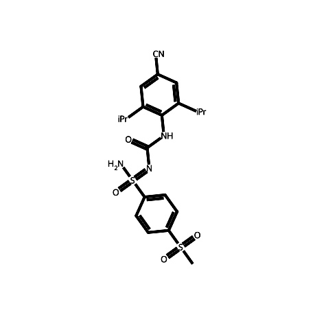 CC(C)c1cc(C#N)cc(C(C)C)c1NC(=O)N=S(N)(=O)c1ccc(S(C)(=O)=O)cc1